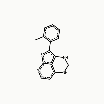 Cc1ccccc1-c1sc2nccc3c2c1NCN3